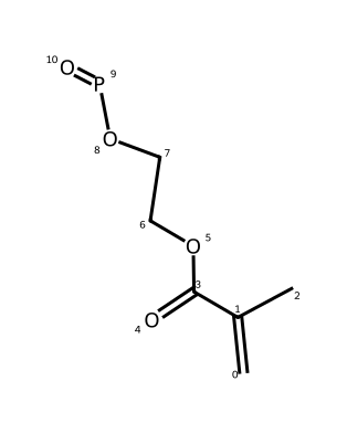 C=C(C)C(=O)OCCOP=O